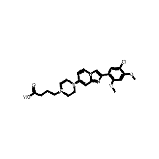 COc1cc(OC)c(-c2cn3ccc(N4CCN(CCCC(=O)O)CC4)cc3n2)cc1Cl